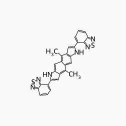 Cc1c2cc(-c3cccc4nsnc34)[nH]c2cc2c(C)c3cc(-c4cccc5nsnc45)[nH]c3cc12